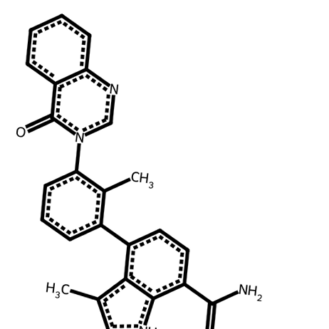 Cc1c(-c2ccc(C(N)=O)c3[nH]cc(C)c23)cccc1-n1cnc2ccccc2c1=O